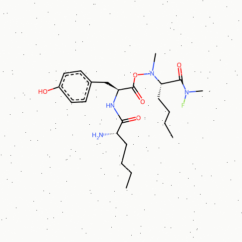 CCCC[C@H](N)C(=O)N[C@@H](Cc1ccc(O)cc1)C(=O)ON(C)[C@@H](CCCC)C(=O)N(C)F